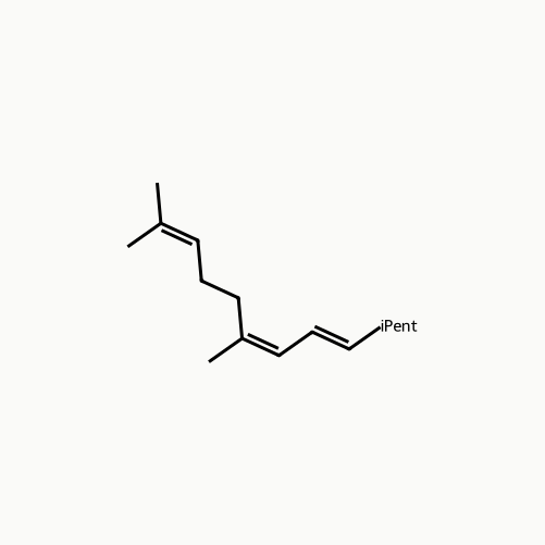 [CH2]CCC(C)C=CC=C(C)CCC=C(C)C